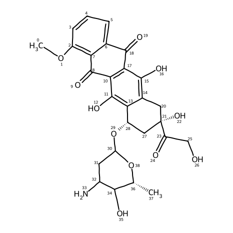 COc1cccc2c1C(=O)c1c(O)c3c(c(O)c1C2=O)C[C@@](O)(C(=O)CO)C[C@@H]3OC1CC(N)C(O)[C@@H](C)O1